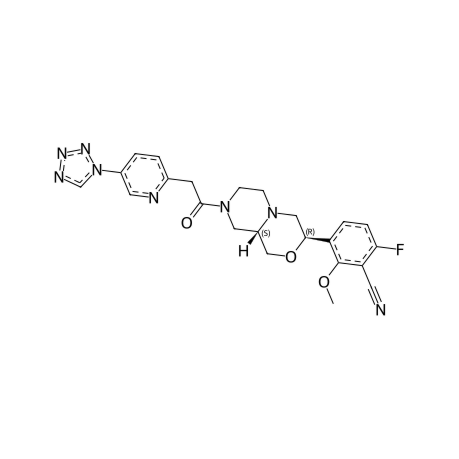 COc1c([C@@H]2CN3CCN(C(=O)Cc4ccc(-n5cnnn5)cn4)C[C@H]3CO2)ccc(F)c1C#N